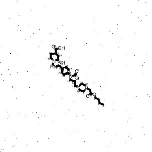 CCCCOC(=O)CN1CCN(CC2CN(c3ccc(C(=N)NC4CC(C(=O)O)CCN4C)cc3)C(=O)O2)CC1